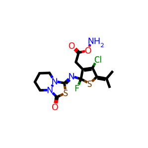 CC(C)=C1SC(F)(N=c2sc(=O)n3n2CCCC3)C(CC(=O)ON)=C1Cl